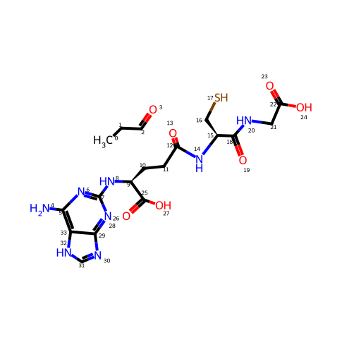 CCC=O.Nc1nc(N[C@@H](CCC(=O)N[C@@H](CS)C(=O)NCC(=O)O)C(=O)O)nc2nc[nH]c12